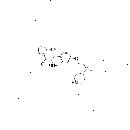 C[C@H](CCOc1ccc2c(c1)CN[C@H](C(=O)N1CCCC1C#N)C2)C1CCNCC1